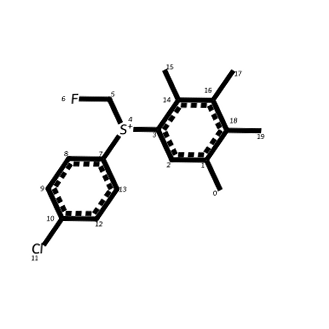 Cc1cc([S+](CF)c2ccc(Cl)cc2)c(C)c(C)c1C